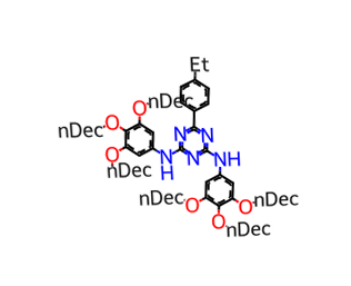 [CH2]Cc1ccc(-c2nc(Nc3cc(OCCCCCCCCCC)c(OCCCCCCCCCC)c(OCCCCCCCCCC)c3)nc(Nc3cc(OCCCCCCCCCC)c(OCCCCCCCCCC)c(OCCCCCCCCCC)c3)n2)cc1